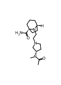 CC(=O)N(C)[C@@H]1CCN(CCN2[C@@H]3C[CH]C[C@@]2(C(N)=O)CC3)C1